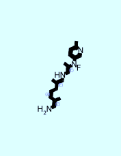 CC(/C=C\C/C(C)=C/N/C=C(\C)N(F)c1ccc(C)nc1)=C/N